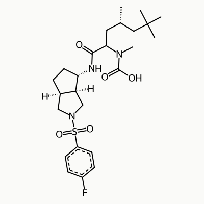 C[C@@H](CC(C(=O)N[C@H]1CC[C@@H]2CN(S(=O)(=O)c3ccc(F)cc3)C[C@@H]21)N(C)C(=O)O)CC(C)(C)C